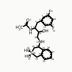 CC(=O)NC(Cc1cc(F)cc(F)c1)C(O)CNC1CS(O)(O)Cc2ccccc21